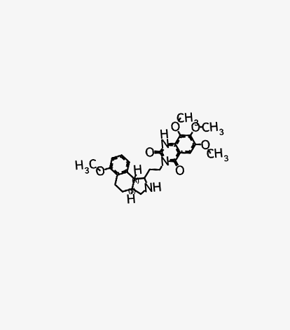 COc1cccc2c1CC[C@@H]1CNC(CCn3c(=O)[nH]c4c(OC)c(OC)c(OC)cc4c3=O)[C@@H]21